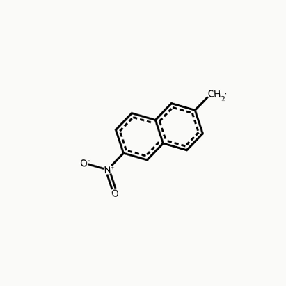 [CH2]c1ccc2cc([N+](=O)[O-])ccc2c1